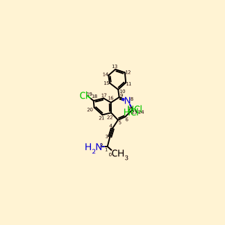 CC(N)C#CC1=CCN=C(c2ccccc2)c2cc(Cl)ccc21.Cl.Cl